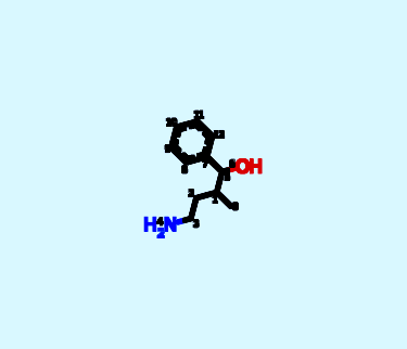 CC(CCN)C(O)c1ccccc1